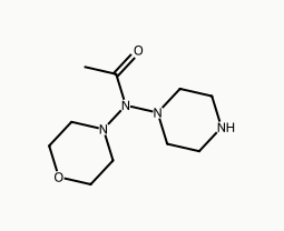 CC(=O)N(N1CCNCC1)N1CCOCC1